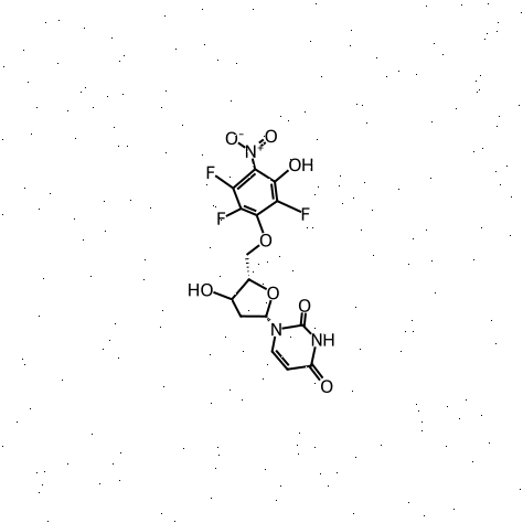 O=c1ccn([C@@H]2CC(O)[C@H](COc3c(F)c(O)c([N+](=O)[O-])c(F)c3F)O2)c(=O)[nH]1